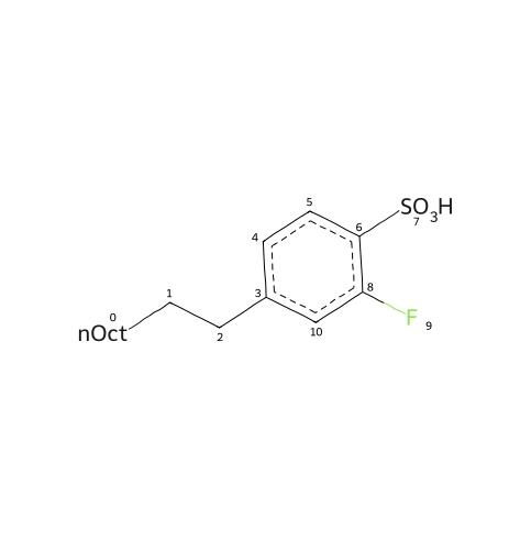 CCCCCCCCCCc1ccc(S(=O)(=O)O)c(F)c1